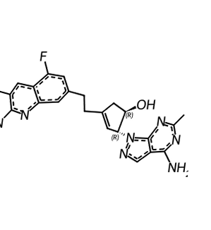 Cc1nc(N)c2cnn([C@@H]3C=C(CCc4cc(F)c5cc(Cl)c(N)nc5c4)C[C@H]3O)c2n1